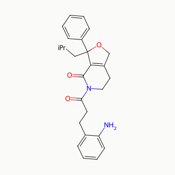 CC(C)CC1(c2ccccc2)OCC2=C1C(=O)N(C(=O)CCc1ccccc1N)CC2